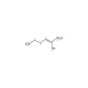 O=C(O)C(O)=CCC[N+](=O)[O-]